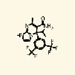 CC1=C(C(N)=O)C(c2cc(C(F)(F)F)cc(C(F)(F)F)c2)(C(C)C)N2C=CNC2=N1